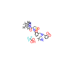 C[C@@H]1[C@@H](NC(=O)C2CCS(=O)(=O)N2Cc2cccc(CN(Cc3cccc4c3OCO4)[C@H](CN(C)C)CC(C)(C)C)c2)C[C@H]2C[C@@H]1C2(C)C.O=C(O)C(F)(F)F